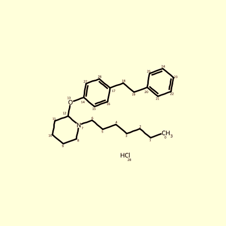 CCCCCCCN1CCCCC1Oc1ccc(CCc2ccccc2)cc1.Cl